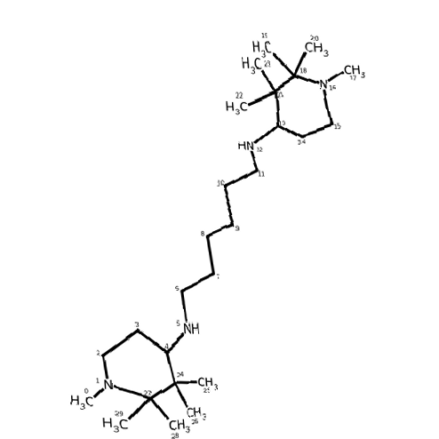 CN1CCC(NCCCCCCNC2CCN(C)C(C)(C)C2(C)C)C(C)(C)C1(C)C